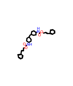 O=C(NC1CCC(CC2CCC(NC(=O)OC/C=C/c3ccccc3)CC2)CC1)OC/C=C/c1ccccc1